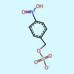 O=[N+](O)c1ccc(COS(=O)(=O)[O-])cc1